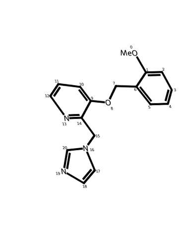 COc1ccccc1COc1cccnc1Cn1ccnc1